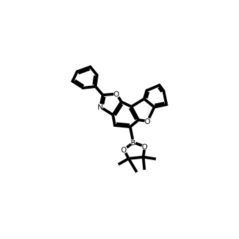 CC1(C)OB(c2cc3nc(-c4ccccc4)oc3c3c2oc2ccccc23)OC1(C)C